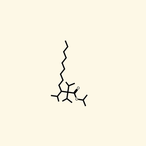 CCCCCCCCCC(C(C)C)C(C(=O)OC(C)C)(C(C)C)C(C)C